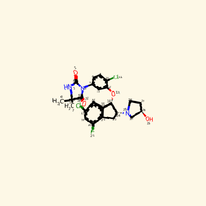 CC1(C)NC(=O)N(c2ccc(Cl)c(O[C@H]3c4cc(Cl)cc(F)c4C[C@H]3N3CC[C@@H](O)C3)c2)C1=O